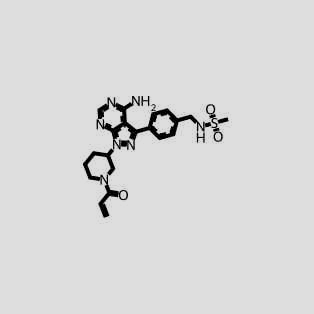 C=CC(=O)N1CCCC(n2nc(-c3ccc(CNS(C)(=O)=O)cc3)c3c(N)ncnc32)C1